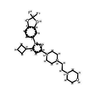 FC1(F)Oc2ccc(-n3nc(N4CCN(CCN5CCOCC5)CC4)cc3C3CCC3)cc2O1